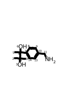 CC(C)(O)C(C)(O)c1ccc(CN)cc1